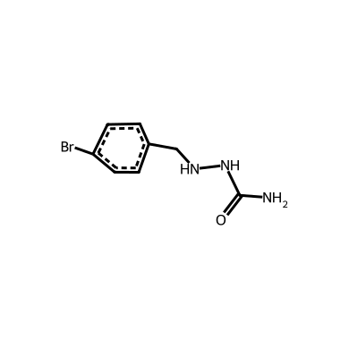 NC(=O)NNCc1ccc(Br)cc1